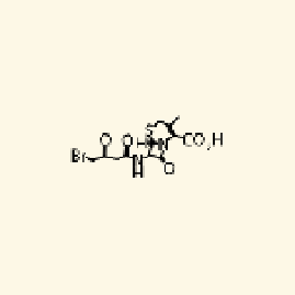 CC1=C(C(=O)O)N2C(=O)C(NC(=O)CC(=O)CBr)[C@@H]2SC1